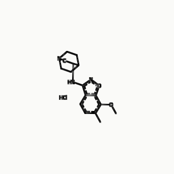 COc1c(C)ccc2c(NC3CN4CCC3CC4)noc12.Cl